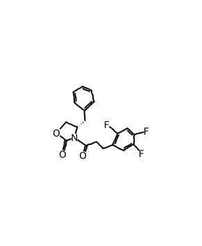 O=C(CCc1cc(F)c(F)cc1F)N1C(=O)OC[C@@H]1Cc1ccccc1